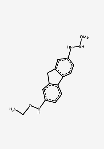 COBNc1ccc2c(c1)Cc1cc(BOCN)ccc1-2